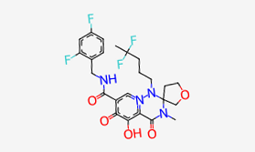 CN1C(=O)c2c(O)c(=O)c(C(=O)NCc3ccc(F)cc3F)cn2N(CCCC(C)(F)F)C12CCOC2